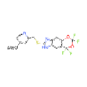 COc1ccnc(CSc2nc3cc4c(cc3[nH]2)C(F)(F)OC(F)(F)O4)c1